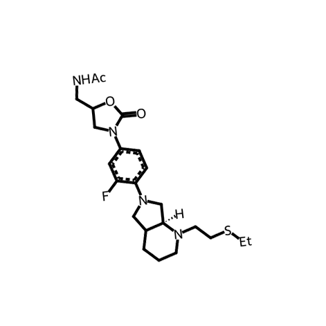 CCSCCN1CCCC2CN(c3ccc(N4CC(CNC(C)=O)OC4=O)cc3F)C[C@H]21